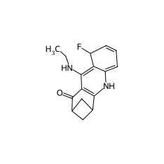 CCNC1=C2C(=CC=CC2F)NC2=C1C(=O)C1CC2C1